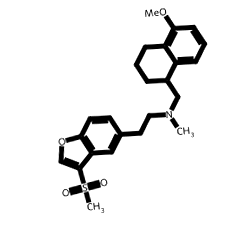 COc1cccc2c1CCCC2CN(C)CCc1ccc2occ(S(C)(=O)=O)c2c1